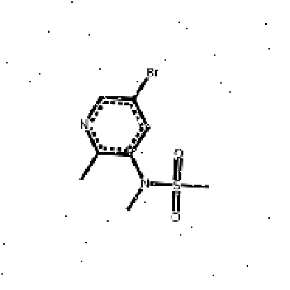 Cc1ncc(Br)cc1N(C)S(C)(=O)=O